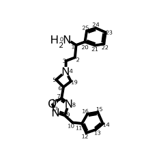 NC(CCN1CC(c2nc(Cc3ccccc3)no2)C1)c1ccccc1